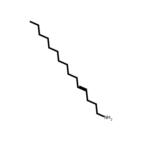 CCCCCCCCCCC=CCCCN